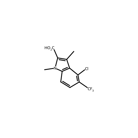 Cc1c(C(=O)O)n(C)c2ccc(C(F)(F)F)c(Cl)c12